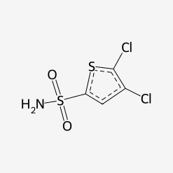 NS(=O)(=O)c1cc(Cl)c(Cl)s1